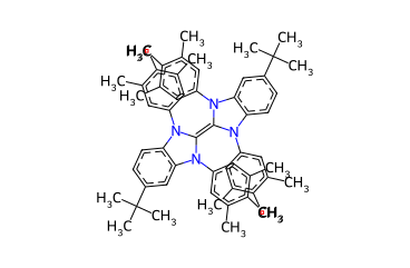 Cc1cc(N2/C(=C3/N(c4cc(C)c(C)c(C)c4)c4ccc(C(C)(C)C)cc4N3c3cc(C)c(C)c(C)c3)N(c3cc(C)c(C)c(C)c3)c3cc(C(C)(C)C)ccc32)cc(C)c1C